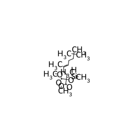 COC(=O)C(CCC(C)=CCCC(C)(C)C)(O[SiH](C)C)C(=O)OC